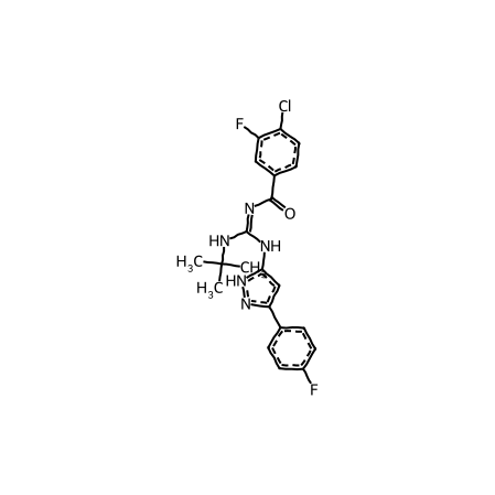 CC(C)(C)N/C(=N/C(=O)c1ccc(Cl)c(F)c1)Nc1cc(-c2ccc(F)cc2)n[nH]1